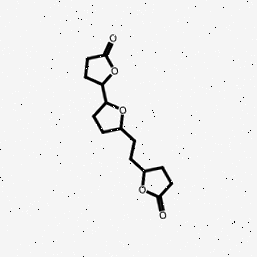 O=C1CCC(CCC2CCC(C3CCC(=O)O3)O2)O1